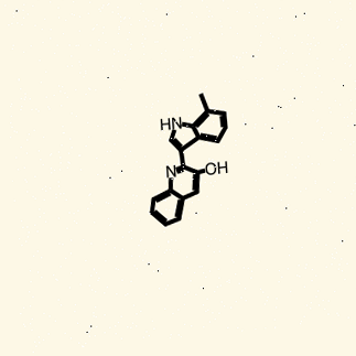 Cc1cccc2c(-c3nc4ccccc4cc3O)c[nH]c12